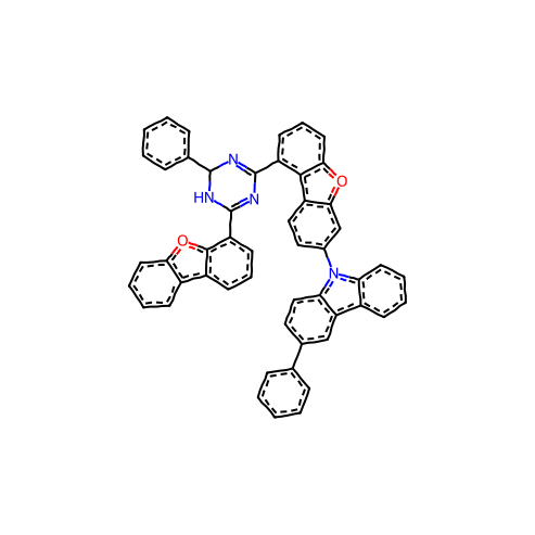 c1ccc(-c2ccc3c(c2)c2ccccc2n3-c2ccc3c(c2)oc2cccc(C4=NC(c5ccccc5)NC(c5cccc6c5oc5ccccc56)=N4)c23)cc1